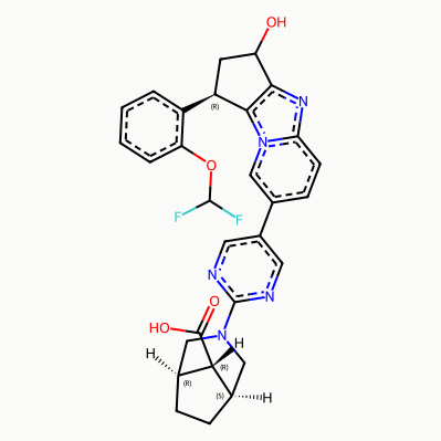 O=C(O)[C@@H]1[C@@H]2CC[C@H]1CN(c1ncc(-c3ccc4nc5c(n4c3)[C@@H](c3ccccc3OC(F)F)CC5O)cn1)C2